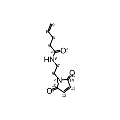 C=CCCC(=O)NCCN1C(=O)C=CC1=O